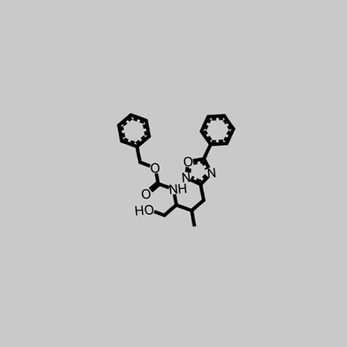 CC(Cc1noc(-c2ccccc2)n1)C(CO)NC(=O)OCc1ccccc1